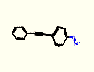 N=Nc1ccc(C#Cc2ccccc2)cc1